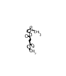 CCN1C(=O)CCC1OC(=O)/C=C/C(=O)OC